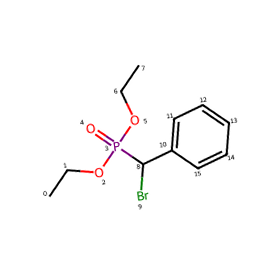 CCOP(=O)(OCC)C(Br)c1ccccc1